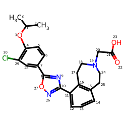 CC(C)Oc1ccc(-c2nc(-c3cccc4c3CCN(CC(=O)O)CC4)no2)cc1Cl